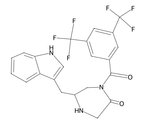 O=C1CNC(Cc2c[nH]c3ccccc23)CN1C(=O)c1cc(C(F)(F)F)cc(C(F)(F)F)c1